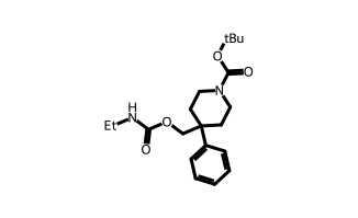 CCNC(=O)OCC1(c2ccccc2)CCN(C(=O)OC(C)(C)C)CC1